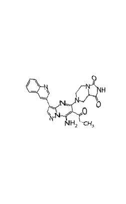 CCC(=O)c1c(N2CCN3C(=O)NC(=O)C3C2)nc2c(-c3cnc4ccccc4c3)cnn2c1N